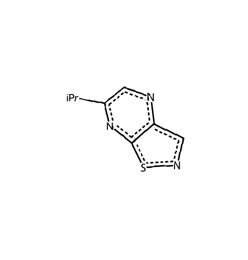 CC(C)c1cnc2cnsc2n1